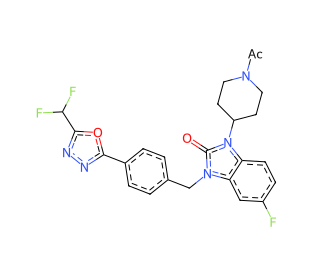 CC(=O)N1CCC(n2c(=O)n(Cc3ccc(-c4nnc(C(F)F)o4)cc3)c3cc(F)ccc32)CC1